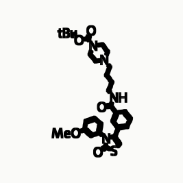 COc1cccc(-n2c(-c3cccc(C(=O)NCCCCN4CCN(C(=O)OC(C)(C)C)CC4)c3)csc2=O)c1